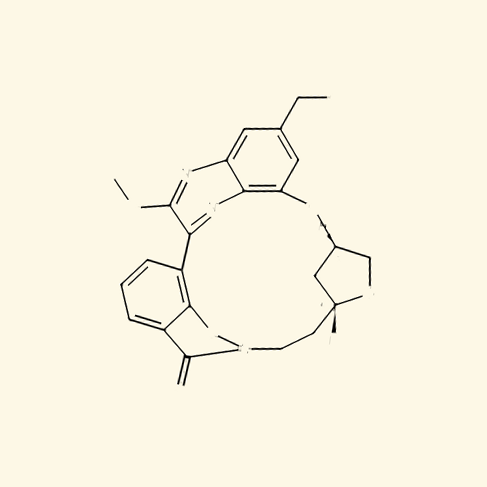 COc1nc2cc(CO)cc3c2nc1-c1cccc2c(=O)n(sc12)CC[C@@H]1C[C@@H](CO1)O3